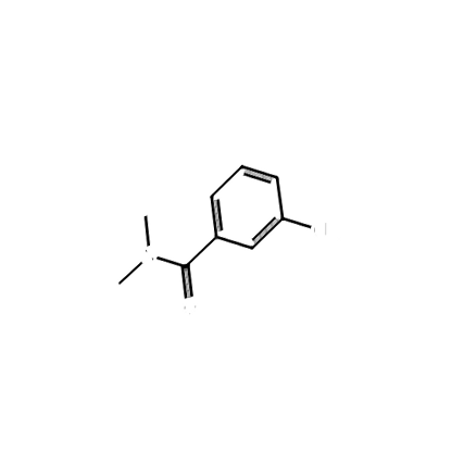 CN(C)C(=O)c1c[c]cc(C(F)(F)F)c1